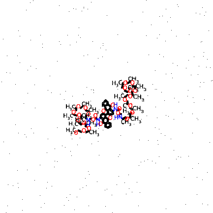 COCCOCC(C)OCC(C)OCC(C)OCC(C)OCC(C)OCC(C)OCC(C)OCC(C)OCC(C)NCOC(=O)Nc1ccc(-c2ccc(NC(=O)OCNC(C)COC(C)COC(C)COC(C)COC(C)COC(C)COC(C)COC(C)COC(C)COCCOC)c3c2C(=O)c2ccccc2C3=O)c2c1C(=O)c1ccccc1C2=O